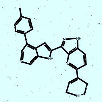 Fc1ccc(-c2cncc3[nH]c(-c4n[nH]c5ccc(C6=CCNCC6)nc45)cc23)cc1